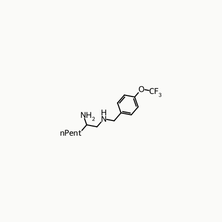 CCCCCC(N)CNCc1ccc(OC(F)(F)F)cc1